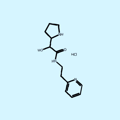 Cl.O=C(NCCc1ccccn1)C(O)C1CCCN1